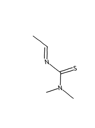 CC=NC(=S)N(C)C